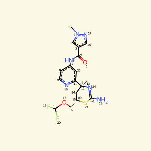 Cn1cc(C(=O)Nc2ccnc([C@]3(C)C[C@@H](COC(F)F)SC(N)=N3)c2)cn1